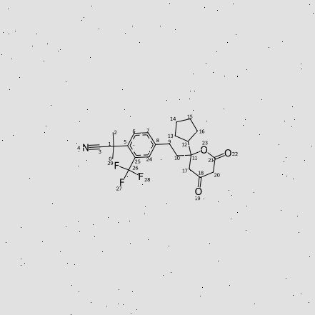 CC(C)(C#N)c1ccc(CCC2(C3CCCC3)CC(=O)CC(=O)O2)cc1C(F)(F)F